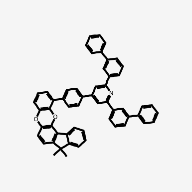 CC1(C)c2ccccc2-c2c1ccc1c2Oc2c(cccc2-c2ccc(-c3cc(-c4cccc(-c5ccccc5)c4)nc(-c4cccc(-c5ccccc5)c4)c3)cc2)O1